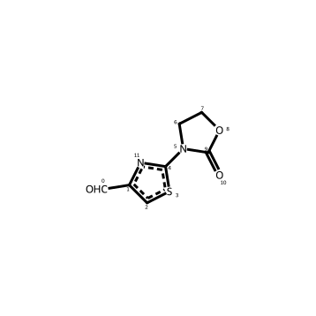 O=Cc1csc(N2CCOC2=O)n1